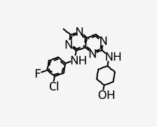 Cc1nc(Nc2ccc(F)c(Cl)c2)c2nc(NC3CCC(O)CC3)ncc2n1